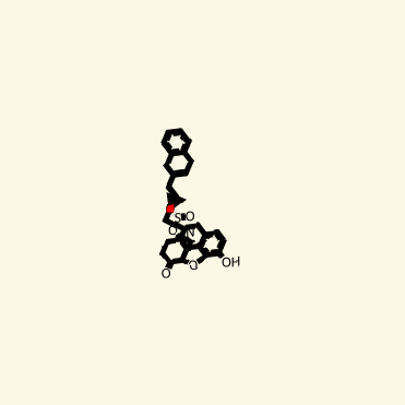 O=C1CCC2(OS(=O)OCCC3=CCc4ccccc4C3)C3Cc4ccc(O)c5c4C2(CCN3CC2CC2)C1O5